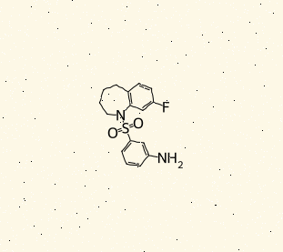 Nc1cccc(S(=O)(=O)N2CCCCc3ccc(F)cc32)c1